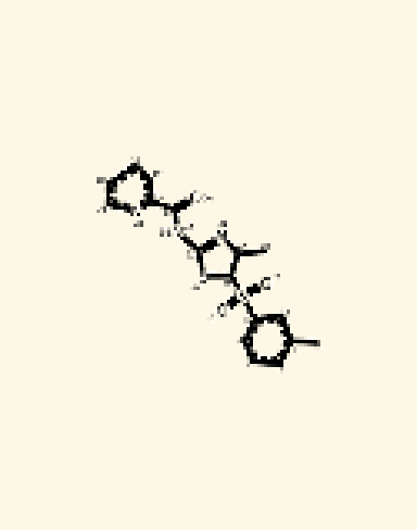 Cc1cccc(S(=O)(=O)C2SC(NC(=O)c3ccccn3)=NC2C)c1